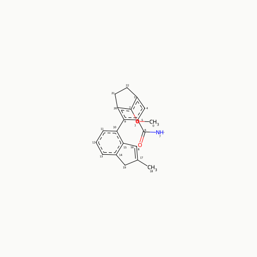 COc1c2cc(C([NH])=O)c(-c3cccc4c3C=C(C)C4)c1CC2